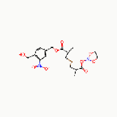 CC(CSCC(C)C(=O)ON1OCCO1)C(=O)OCc1ccc(CO)c([N+](=O)[O-])c1